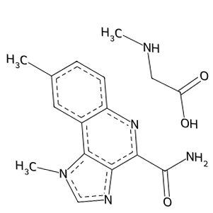 CNCC(=O)O.Cc1ccc2nc(C(N)=O)c3ncn(C)c3c2c1